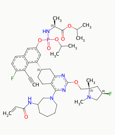 C#Cc1c(F)ccc2cc(OP(=O)(N[C@@H](C)C(=O)OC(C)C)OC(C)C)cc([C@H]3CCc4c(nc(OC[C@]5(C)C[C@@H](F)CN5C)nc4N4CCCCC(NC(=O)C=C)C4)C3)c12